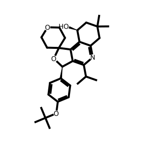 CC(C)c1nc2c(c3c1[C@@H](c1ccc(OC(C)(C)C)cc1)OC31CCOCC1)[C@@H](O)CC(C)(C)C2